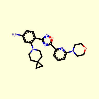 Nc1ccc(-c2noc(-c3cccc(N4CCOCC4)n3)n2)c(N2CCC3(CC2)CC3)c1